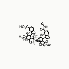 COC(=O)C1=C(C)NC(C)=C(C(C)=O)C1c1csc2ccc(C(=O)NC3CC3)cc12.COC(=O)C1=C(C)NC(C)=C(C(C)=O)C1c1csc2ccc(C(=O)O)cc12